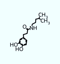 CC(C)CCCNC(=O)CCc1ccc(O)c(O)c1